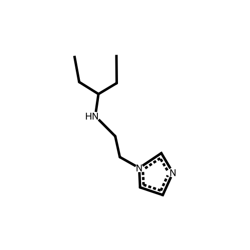 CCC(CC)NCCn1ccnc1